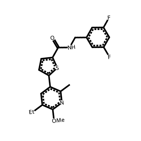 CCc1cc(-c2ccc(C(=O)NCc3cc(F)cc(F)c3)s2)c(C)nc1OC